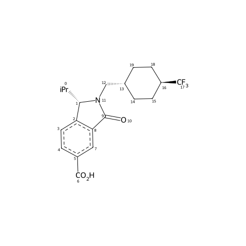 CC(C)[C@H]1c2ccc(C(=O)O)cc2C(=O)N1C[C@H]1CC[C@H](C(F)(F)F)CC1